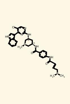 CN(C)CC=CC(=O)Nc1ccc(C(=O)N[C@@H]2C[C@H](Nc3ncc(Cl)c(-c4c[nH]c5ccccc45)n3)CN(C)C2)cc1